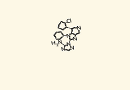 Nc1ncnn1-c1nc2cncc(-c3ccccc3Cl)c2n1-c1ccccc1